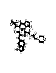 CC(NC(=O)CN1CCOCC1)C(=O)NC(Cc1ccc2cc[nH]c2c1)C(=O)NC(CC1CCCC1)C(=O)C1(C)CO1